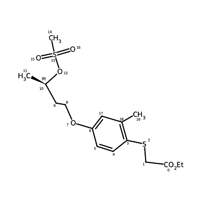 CCOC(=O)CSc1ccc(OCC[C@@H](C)OS(C)(=O)=O)cc1C